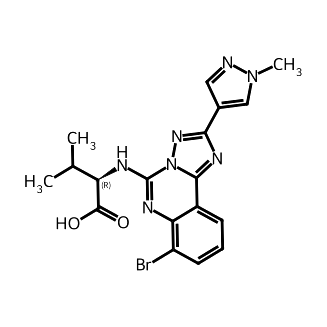 CC(C)[C@@H](Nc1nc2c(Br)cccc2c2nc(-c3cnn(C)c3)nn12)C(=O)O